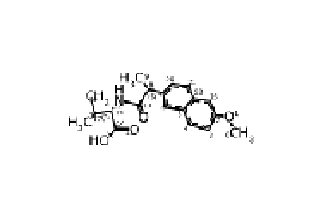 COc1ccc2cc([C@H](C)C(=O)N[C@H](C(=O)O)C(C)C)ccc2c1